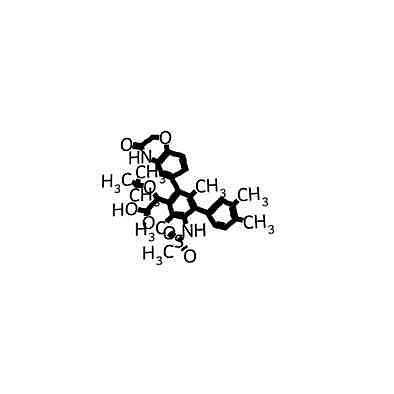 Cc1ccc(-c2c(C)c(-c3ccc4c(c3)NC(=O)CO4)c(C(OC(C)(C)C)C(=O)O)c(C)c2NS(C)(=O)=O)cc1C